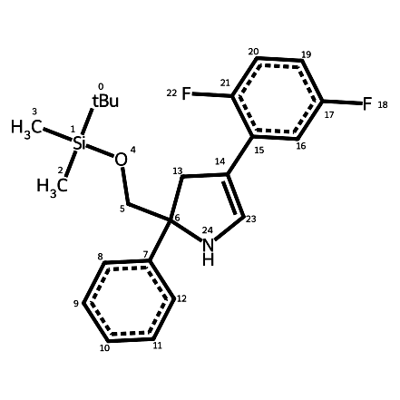 CC(C)(C)[Si](C)(C)OCC1(c2ccccc2)CC(c2cc(F)ccc2F)=CN1